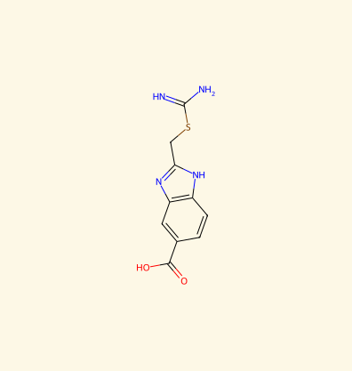 N=C(N)SCc1nc2cc(C(=O)O)ccc2[nH]1